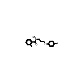 CCN(CCCOc1ccc(F)cc1)C(=O)c1ccccc1I